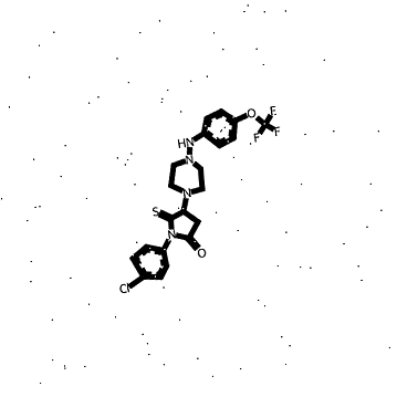 O=C1CC(N2CCN(Nc3ccc(OC(F)(F)F)cc3)CC2)C(=S)N1c1ccc(Cl)cc1